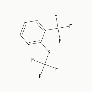 FC(F)(F)Sc1ccccc1C(F)(F)F